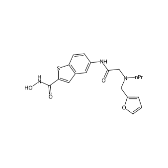 CCCN(CC(=O)Nc1ccc2sc(C(=O)NO)cc2c1)Cc1ccco1